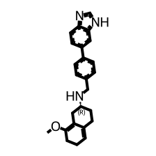 COC1=C2C[C@H](NCc3ccc(-c4ccc5nc[nH]c5c4)cc3)CCC2=CCC1